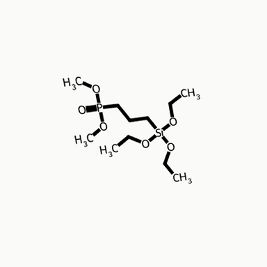 CCO[Si](CCCP(=O)(OC)OC)(OCC)OCC